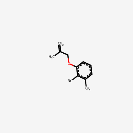 C=C(C)COc1cccc(C(F)(F)F)c1C#N